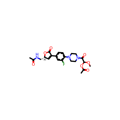 COC(OC(C)=O)C(=O)N1CCN(c2ccc(C3=C[C@H](CNC(C)=O)OC3=O)cc2F)CC1